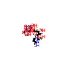 CC1(O)[C@@H](O)[C@@](F)(COP(=O)(O)OP(=O)(O)OP(=O)(O)O)O[C@H]1n1ccc(=S)[nH]c1=S